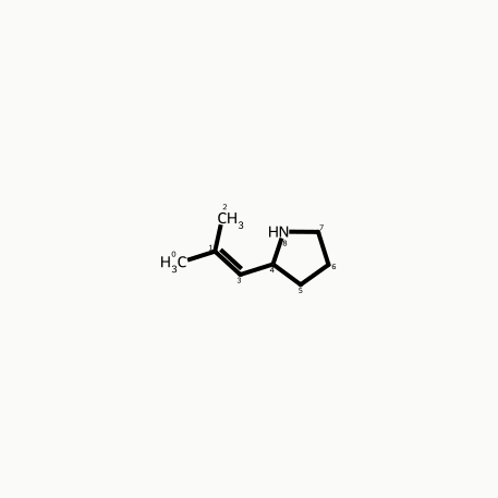 CC(C)=CC1CCCN1